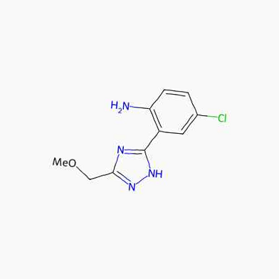 COCc1n[nH]c(-c2cc(Cl)ccc2N)n1